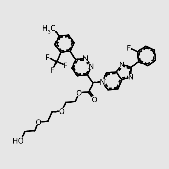 Cc1ccc(-c2ccc(C(C(=O)OCCOCCOCCO)n3ccc4nc(-c5ccccc5F)nc-4c3)nn2)c(C(F)(F)F)c1